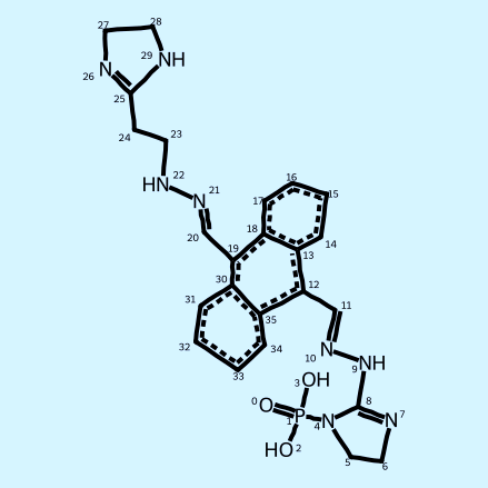 O=P(O)(O)N1CCN=C1NN=Cc1c2ccccc2c(C=NNCCC2=NCCN2)c2ccccc12